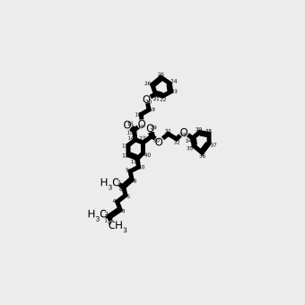 CC(C)=CCC/C(C)=C/CCC1=CCC(C(=O)OCCOc2ccccc2)C(C(=O)OCCOc2ccccc2)C1